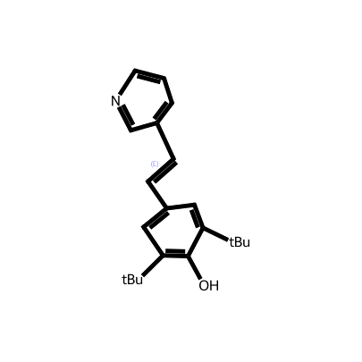 CC(C)(C)c1cc(/C=C/c2cccnc2)cc(C(C)(C)C)c1O